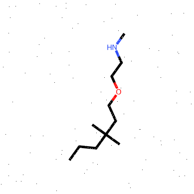 CCCC(C)(C)CCOCCNC